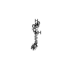 O=C1CCC(c2cccc(NCCCCCCCCN3CCC(F)(F)CC3)c2)C(=O)N1